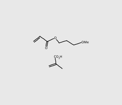 C=C(C)C(=O)O.C=CC(=O)OCCCOC